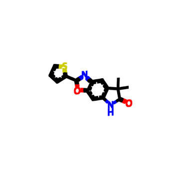 CC1(C)C(=O)Nc2cc3oc(-c4cccs4)nc3cc21